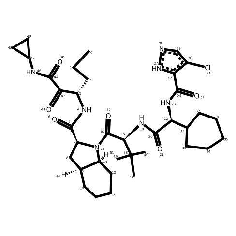 CCC[C@H](NC(=O)[C@@H]1C[C@@H]2CCCC[C@@H]2N1C(=O)[C@@H](NC(=O)[C@@H](NC(=O)c1[nH]ncc1Cl)C1CCCCC1)C(C)(C)C)C(=O)C(=O)NC1CC1